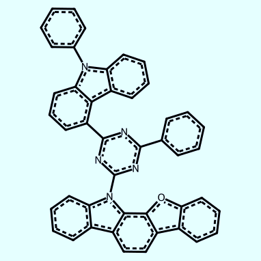 c1ccc(-c2nc(-c3cccc4c3c3ccccc3n4-c3ccccc3)nc(-n3c4ccccc4c4ccc5c6ccccc6oc5c43)n2)cc1